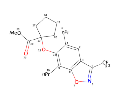 CCCc1cc2c(C(F)(F)F)noc2c(CCC)c1OC1(C(=O)OC)CCCC1